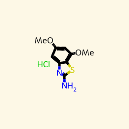 COc1cc(OC)c2sc(N)nc2c1.Cl